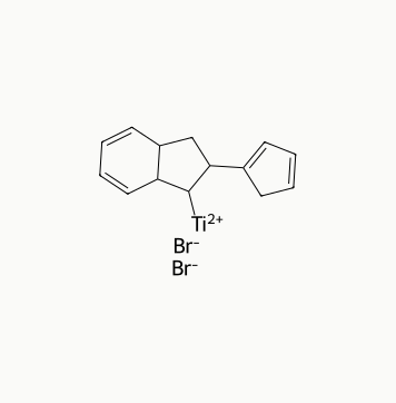 [Br-].[Br-].[Ti+2][CH]1C(C2=CC=CC2)CC2C=CC=CC21